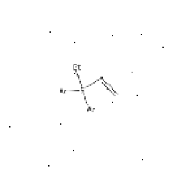 C=C[Si](CC)(C(C)=O)C(C)=O